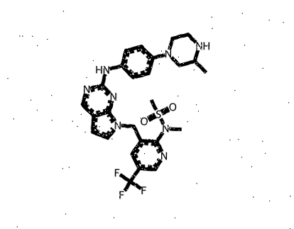 CC1CN(c2ccc(Nc3ncc4ccn(Cc5cc(C(F)(F)F)cnc5N(C)S(C)(=O)=O)c4n3)cc2)CCN1